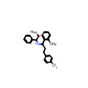 CNC(=O)C(NC(CCc1ccc(C(F)(F)F)cc1)c1ccccc1OC)c1ccccc1